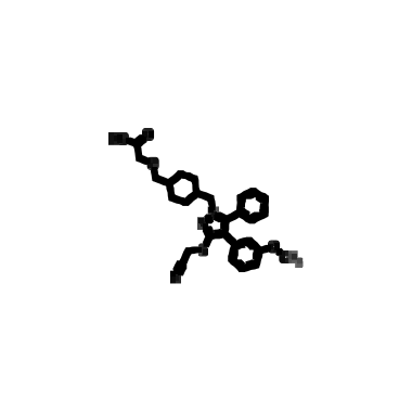 COc1cccc(-c2c(SCC#N)nn(CC3CCC(COCC(=O)O)CC3)c2-c2ccccc2)c1